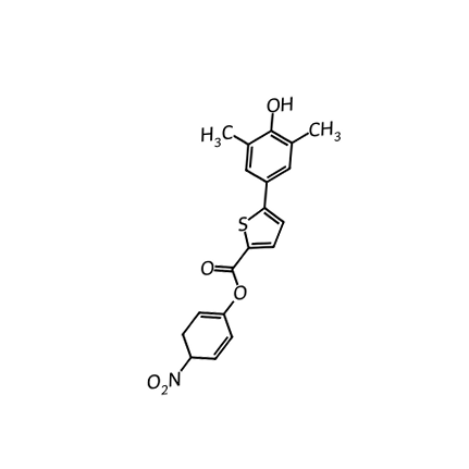 Cc1cc(-c2ccc(C(=O)OC3=CCC([N+](=O)[O-])C=C3)s2)cc(C)c1O